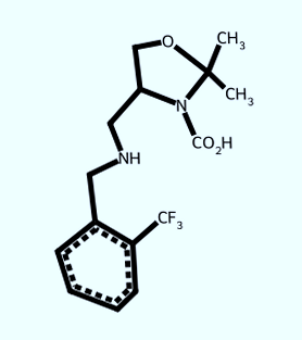 CC1(C)OCC(CNCc2ccccc2C(F)(F)F)N1C(=O)O